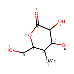 COC1C(CO)OC(=O)C(O)C1O